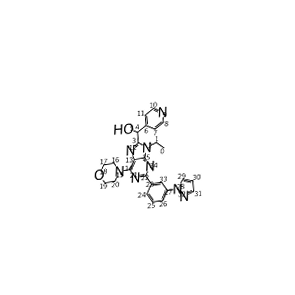 CCn1c(C(O)c2ccncc2)nc2c(N3CCOCC3)nc(-c3cccc(-n4cccn4)c3)nc21